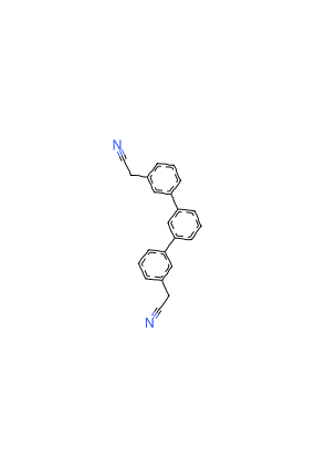 N#CCc1cccc(-c2cccc(-c3cccc(CC#N)c3)c2)c1